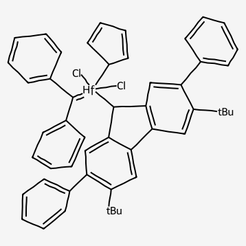 CC(C)(C)c1cc2c(cc1-c1ccccc1)[CH]([Hf]([Cl])([Cl])(=[C](c1ccccc1)c1ccccc1)[CH]1C=CC=C1)c1cc(-c3ccccc3)c(C(C)(C)C)cc1-2